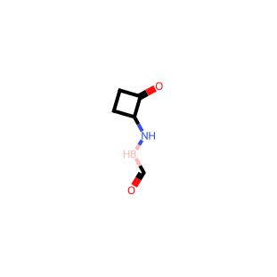 O=CBNC1CCC1=O